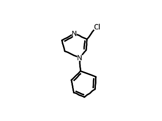 ClC1=CN(c2ccccc2)CC=N1